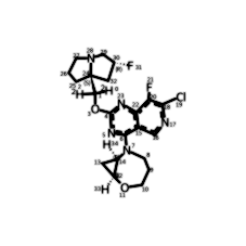 [2H]C([2H])(Oc1nc(N2CCCO[C@H]3C[C@H]32)c2cnc(Cl)c(F)c2n1)[C@@]12CCCN1C[C@H](F)C2